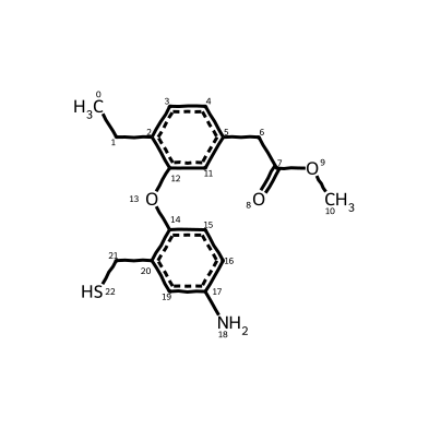 CCc1ccc(CC(=O)OC)cc1Oc1ccc(N)cc1CS